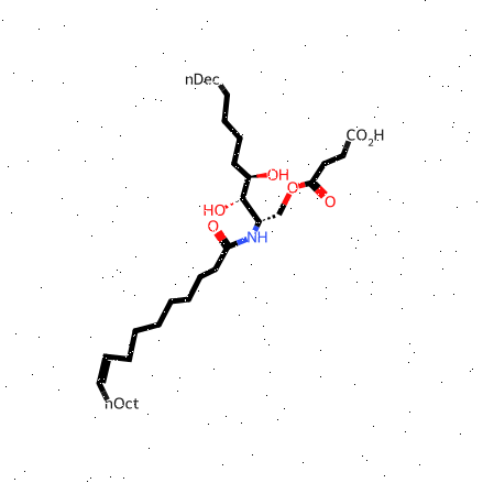 CCCCCCCC/C=C\CCCCCCCC(=O)N[C@@H](COC(=O)CCC(=O)O)[C@H](O)[C@H](O)CCCCCCCCCCCCCC